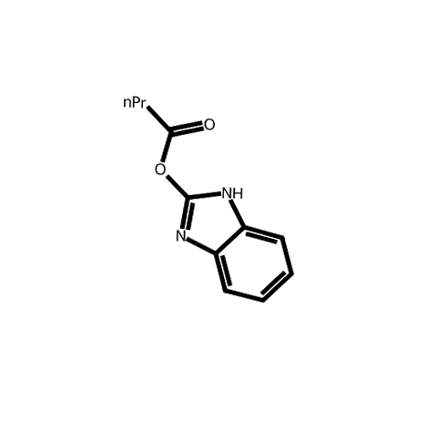 CCCC(=O)Oc1nc2ccccc2[nH]1